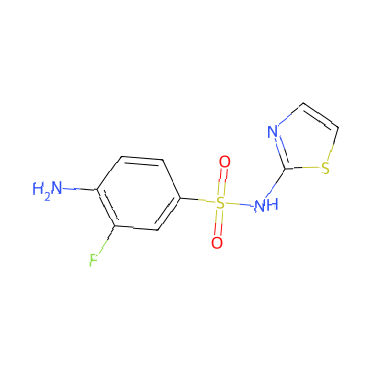 Nc1ccc(S(=O)(=O)Nc2nccs2)cc1F